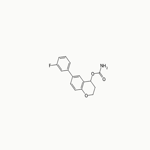 NC(=O)OC1CCOc2ccc(-c3cccc(F)c3)cc21